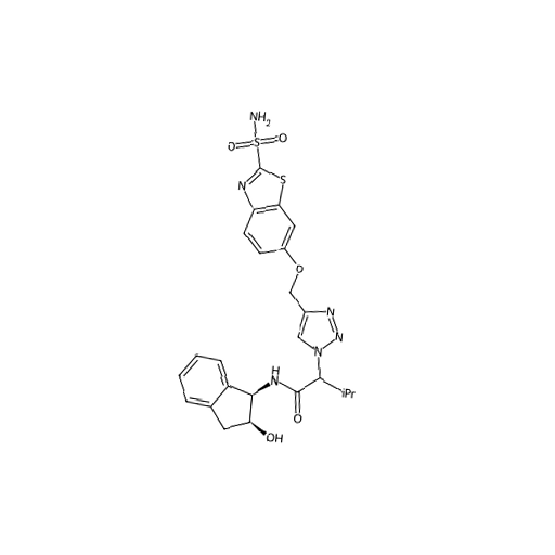 CC(C)C(C(=O)N[C@@H]1c2ccccc2C[C@@H]1O)n1cc(COc2ccc3nc(S(N)(=O)=O)sc3c2)nn1